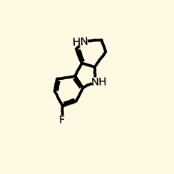 Fc1ccc2c(c1)NC1CCNC=C21